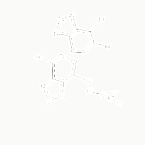 Brc1ccc(Br)c2nsnc12.Brc1ccc2nsnc2c1Br.O=C([O-])[O-].[K+].[K+]